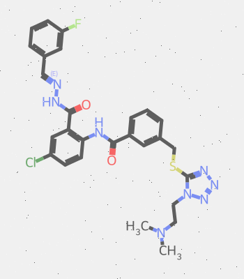 CN(C)CCn1nnnc1SCc1cccc(C(=O)Nc2ccc(Cl)cc2C(=O)N/N=C/c2cccc(F)c2)c1